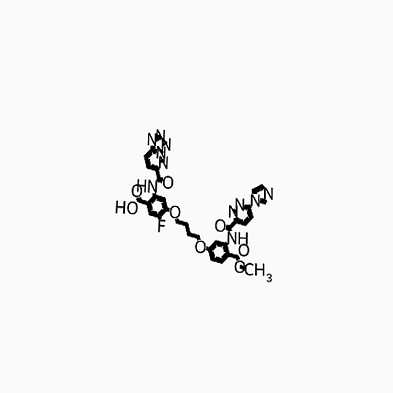 COC(=O)c1ccc(OCCCCOc2cc(NC(=O)c3ccc4nnnn4n3)c(C(=O)O)cc2F)cc1NC(=O)c1ccc(-n2ccnc2)nn1